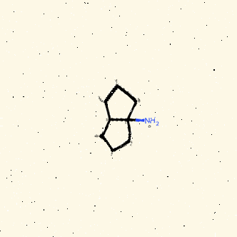 NC12CCCC1CCC2